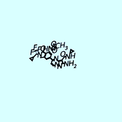 CS(=O)(=O)Nc1cc(-c2ccn3nc(N)c(C(=O)NC4CC4)c3n2)cc2c1C(=O)N([C@H](C1CC1)C(F)(F)F)C2